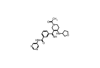 CC(=O)N1CCC(NC2CCOC2)=C(C(=N)c2cccc(C(=O)Nc3cncnc3)c2)C1